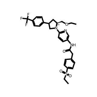 CCOC[C@@H]1CC(c2ccc(C(F)(F)F)cc2)CN1c1ccc(NC(=O)Cc2ccc(S(=O)(=O)CC)cc2)cn1